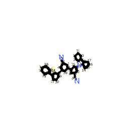 N#Cc1cc(-c2cc(C#N)cc(-n3c4ccccc4c4ccccc43)c2)cc(-c2cccc3c2sc2ccccc23)c1